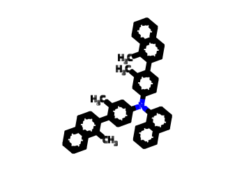 Cc1cc(N(c2ccc(-c3ccc4ccccc4c3C)c(C)c2)c2cccc3ccccc23)ccc1-c1ccc2ccccc2c1C